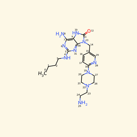 CCCCNc1nc(N)c2[nH]c(=O)n(Cc3ccc(N4CCN(CCN)CC4)nc3)c2n1